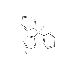 IC(c1ccccc1)(c1ccccc1)c1ccccc1.P